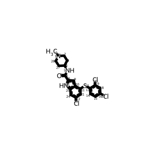 CN1CCC(NC(=O)c2cc3c(Sc4ccc(Cl)cc4Cl)cc(Cl)cc3[nH]2)CC1